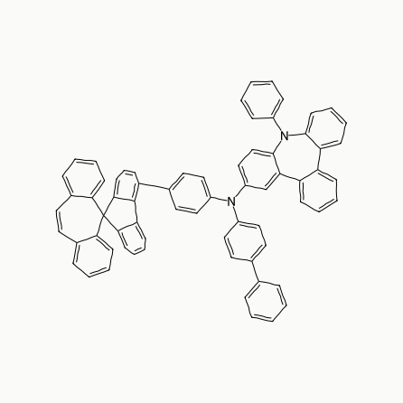 C1=Cc2ccccc2C2(c3ccccc31)c1ccccc1-c1c(-c3ccc(N(c4ccc(-c5ccccc5)cc4)c4ccc5c(c4)-c4ccccc4-c4ccccc4N5c4ccccc4)cc3)cccc12